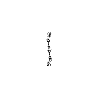 C=CC(=O)OCCOc1ccc(C#Cc2ccc(-c3c(C)cc(C#Cc4ccc(OCCOC(=O)C=C)c(C)c4)cc3C)cc2)cc1C